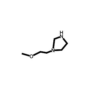 COCCN1CCNC1